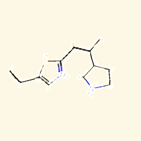 CCc1cnc(CC(C)C2CCNC2)s1